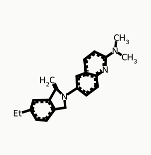 C=C1c2cc(CC)ccc2CN1c1ccc2nc(N(C)C)ccc2c1